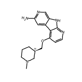 CN1CCC[C@@H](COc2ccnc3[nH]c4cnc(N)cc4c23)C1